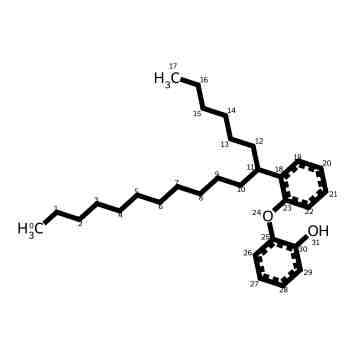 CCCCCCCCCCCC(CCCCCC)c1ccccc1Oc1ccccc1O